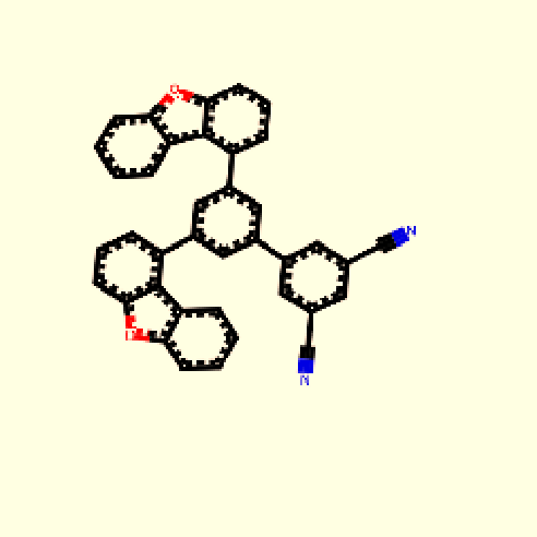 N#Cc1cc(C#N)cc(-c2cc(-c3cccc4oc5ccccc5c34)cc(-c3cccc4oc5ccccc5c34)c2)c1